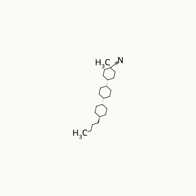 CCCC[C@H]1CC[C@H](C2CCC([C@H]3CC[C@](C)(C#N)CC3)CC2)CC1